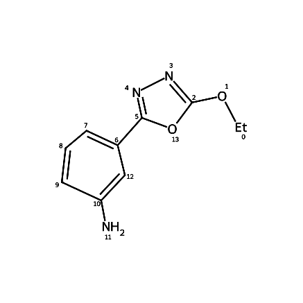 CCOc1nnc(-c2cccc(N)c2)o1